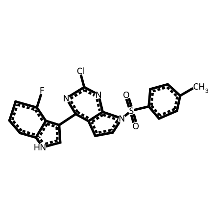 Cc1ccc(S(=O)(=O)n2ccc3c(-c4c[nH]c5cccc(F)c45)nc(Cl)nc32)cc1